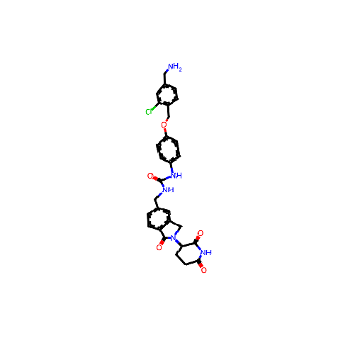 NCc1ccc(COc2ccc(NC(=O)NCc3ccc4c(c3)CN(C3CCC(=O)NC3=O)C4=O)cc2)c(Cl)c1